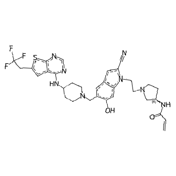 C=CC(=O)N[C@@H]1CCN(CCn2c(C#N)cc3cc(CN4CCC(Nc5ncnc6sc(CC(F)(F)F)cc56)CC4)c(O)cc32)C1